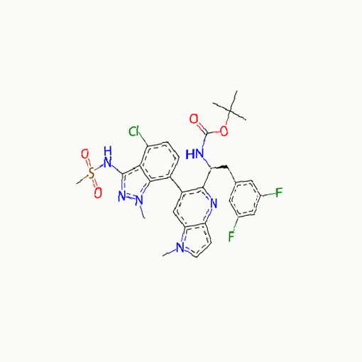 Cn1ccc2nc([C@H](Cc3cc(F)cc(F)c3)NC(=O)OC(C)(C)C)c(-c3ccc(Cl)c4c(NS(C)(=O)=O)nn(C)c34)cc21